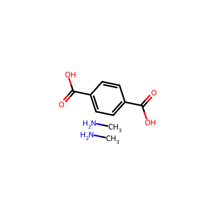 CN.CN.O=C(O)c1ccc(C(=O)O)cc1